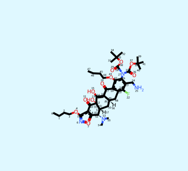 CCCCOc1noc2c1C(=O)[C@@]1(O)C(O)=C3C(=O)c4c(c(F)c(CN)c(N(C(=O)OC(C)(C)C)C(=O)OC(C)(C)C)c4OCCCC)C[C@H]3C[C@H]1[C@@H]2N(C)C